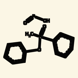 CP(=O)(Oc1ccccc1)c1ccccc1.O=PO